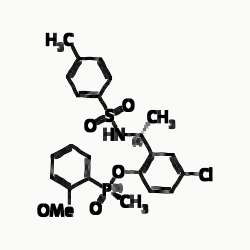 COc1ccccc1[P@@](C)(=O)Oc1ccc(Cl)cc1[C@@H](C)NS(=O)(=O)c1ccc(C)cc1